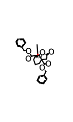 CC1CC2(C(=O)OCc3ccccc3)CCCC3(C(=O)OCc4ccccc4)CC(=O)O[C@]32C1